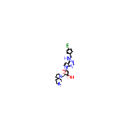 CN1CCC2(CCCN2C[C@H]2O[C@@H](n3ccc4c(NCc5ccc(F)cc5)ncnc43)C[C@@H]2O)CC1